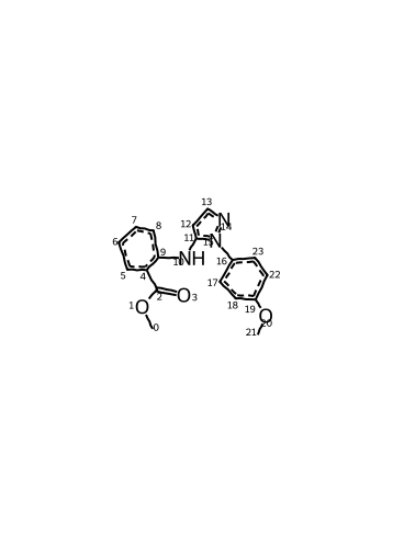 COC(=O)c1ccccc1Nc1ccnn1-c1ccc(OC)cc1